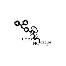 CCCCCCc1cc(/C=C(\C#N)C(=O)O)sc1-c1sc(-c2ccc(C=C(c3ccccc3)c3ccccc3)cc2)c2c1OCCO2